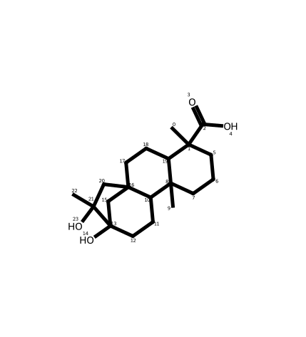 CC1(C(=O)O)CCCC2(C)C3CCC4(O)CC3(CCC12)CC4(C)O